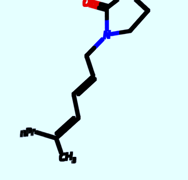 CCC/C(C)=C\C=C\CN1CCCC1=O